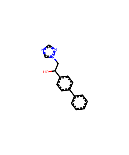 OC(Cn1cncn1)c1ccc(-c2ccccc2)cc1